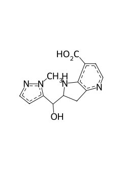 Cn1nccc1C(O)C1Cc2nccc(C(=O)O)c2N1